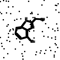 CC(C)(C)c1cccc2[nH]c(CO)nc12